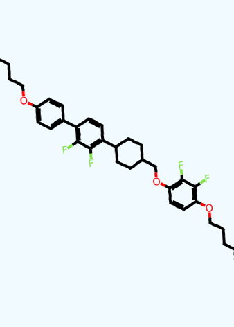 C=CCCCOc1ccc(OCC2CCC(c3ccc(-c4ccc(OCCCC)cc4)c(F)c3F)CC2)c(F)c1F